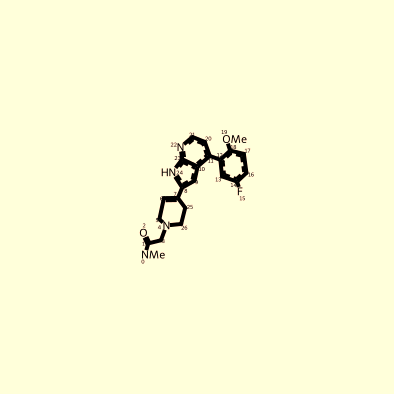 CNC(=O)CN1CC=C(c2cc3c(-c4cc(F)ccc4OC)ccnc3[nH]2)CC1